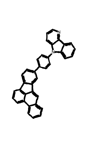 c1ccc2c(c1)cc1c3c(cccc32)-c2ccc(-c3ccc(-n4c5ccccc5c5ncccc54)cc3)cc2-1